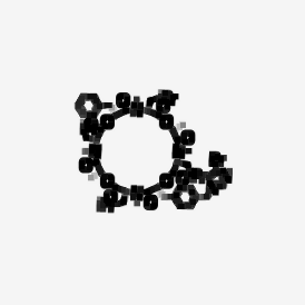 CC(C)C[C@H]1C(=O)O[C@H](Cc2ccc(Cn3cnc(Br)c3)cc2)C(=O)N(C)[C@@H](CC(C)C)C(=O)O[C@H](C)C(=O)N(C)[C@@H](CC(C)C)C(=O)O[C@H](Cc2ccccc2)C(=O)N(C)[C@@H](CC(C)C)C(=O)O[C@H](C)C(=O)N1C